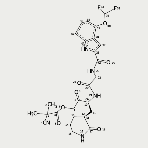 CC(C)(C#N)C(=O)OCC(=O)[C@H](C[C@@H]1CCCNC1=O)NC(=O)CNC(=O)c1cc2c(OC(F)F)cccc2[nH]1